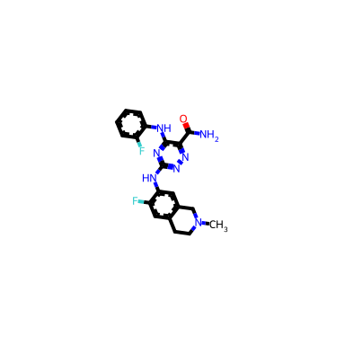 CN1CCc2cc(F)c(Nc3nnc(C(N)=O)c(Nc4ccccc4F)n3)cc2C1